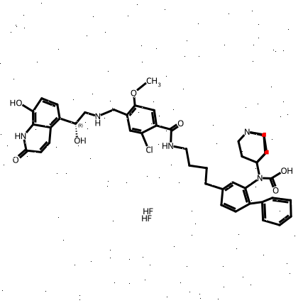 COc1cc(C(=O)NCCCCc2ccc(-c3ccccc3)c(N(C(=O)O)C34CCN(CC3)CC4)c2)c(Cl)cc1CNC[C@H](O)c1ccc(O)c2[nH]c(=O)ccc12.F.F